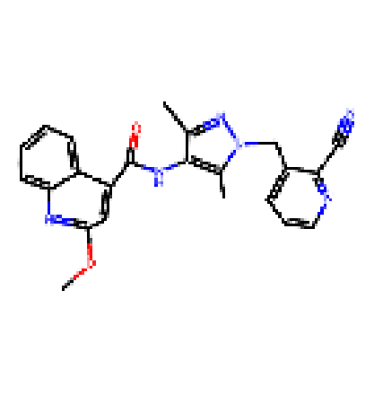 COc1cc(C(=O)Nc2c(C)nn(Cc3cccnc3C#N)c2C)c2ccccc2n1